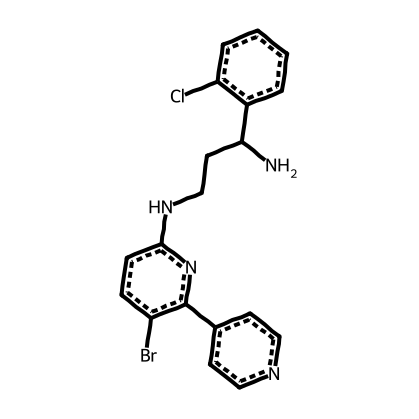 NC(CCNc1ccc(Br)c(-c2ccncc2)n1)c1ccccc1Cl